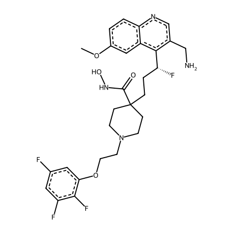 COc1ccc2ncc(CN)c([C@H](F)CCC3(C(=O)NO)CCN(CCOc4cc(F)cc(F)c4F)CC3)c2c1